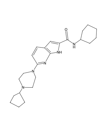 O=C(NC1CCCCC1)c1cc2ccc(N3CCN(C4CCCC4)CC3)nc2[nH]1